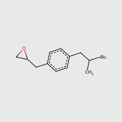 CCC(C)C(C)Cc1ccc(CC2CO2)cc1